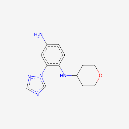 Nc1ccc(NC2CCOCC2)c(-n2cncn2)c1